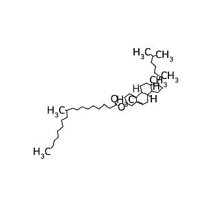 CCCCCCCCC(C)CCCCCCCCC(=O)O[C@H]1CC[C@@]2(C)C(=CC[C@H]3[C@@H]4CC[C@H](C(C)CCCC(C)C)[C@@]4(C)CC[C@@H]32)C1